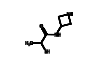 CC(S)C(=O)NC1CNC1